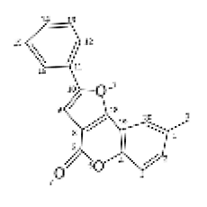 Cc1ccc2oc(=O)c3cc(-c4ccccc4)oc3c2c1